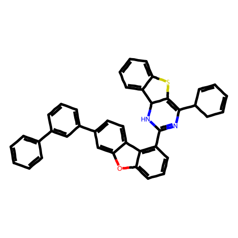 C1=CCC(C2=C3Sc4ccccc4C3NC(c3cccc4oc5cc(-c6cccc(-c7ccccc7)c6)ccc5c34)=N2)C=C1